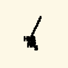 CCCCCCCCCCCCCCCCCC(=O)Nc1cc(C(=S)NCCSC)ccc1C